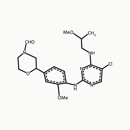 COc1cc(C2CN(C=O)CCO2)ccc1Nc1ncc(Cl)c(NCC(C)OC)n1